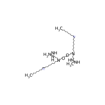 CCCCCCCC/C=C\CCCCCCCCN(CCCNC(C)=N)CCOCCOCCN(CCCCCCCC/C=C/CCCCCCCC)CCCNC(=N)N